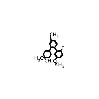 CCc1ccc(-c2cc(OC)ccc2F)c(C2=CCC(C)(C)CC2)c1